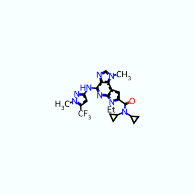 CCn1c(C(=O)N(C2CC2)C2CC2)cc2c3c(ncn3C)c(Nc3cc(C(F)(F)F)n(C)n3)nc21